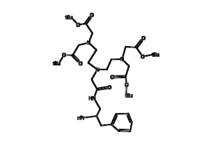 CCCC(CNC(=O)CN(CCN(CC(=O)OC(C)(C)C)CC(=O)OC(C)(C)C)CCN(CC(=O)OC(C)(C)C)CC(=O)OC(C)(C)C)Cc1ccccc1